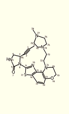 CC#C[C@@H]1CNC(=O)N1c1nc2c3c(ccc2s1)OCCN3CCN1CCN(C)CC1